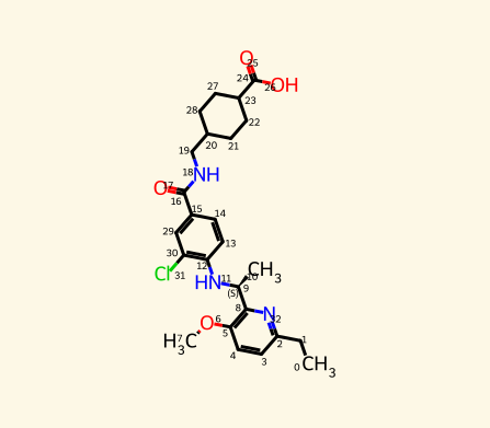 CCc1ccc(OC)c([C@H](C)Nc2ccc(C(=O)NCC3CCC(C(=O)O)CC3)cc2Cl)n1